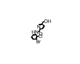 O=C(Nc1cccc(Br)c1Cl)c1ccc(CO)cn1